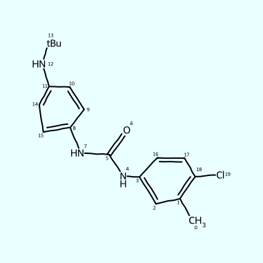 Cc1cc(NC(=O)Nc2ccc(NC(C)(C)C)cc2)ccc1Cl